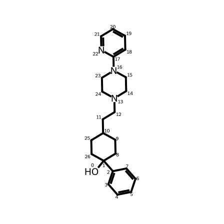 OC1(c2ccccc2)CCC(CCN2CCN(c3ccccn3)CC2)CC1